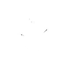 O=C(O)[C@H]1OCC[C@@H](O)[C@@H]1O